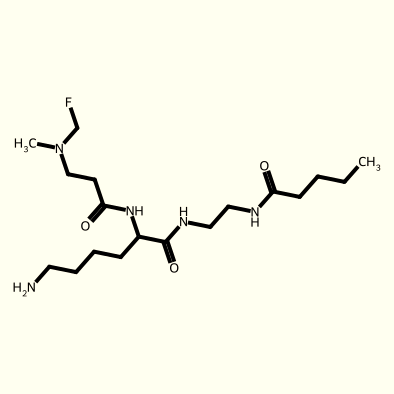 CCCCC(=O)NCCNC(=O)C(CCCCN)NC(=O)CCN(C)CF